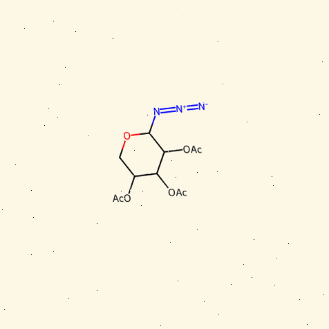 CC(=O)OC1COC(N=[N+]=[N-])C(OC(C)=O)C1OC(C)=O